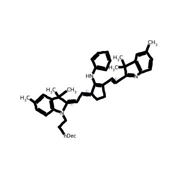 CCCCCCCCCCCCN1/C(=C/C=C2\CCC(/C=C/C3=Nc4ccc(C)cc4C3(C)C)=C2Nc2ccccc2)C(C)(C)c2cc(C)ccc21